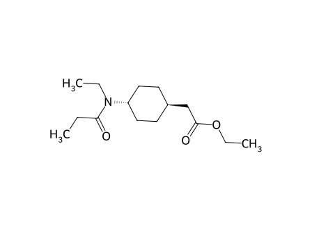 CCOC(=O)C[C@H]1CC[C@H](N(CC)C(=O)CC)CC1